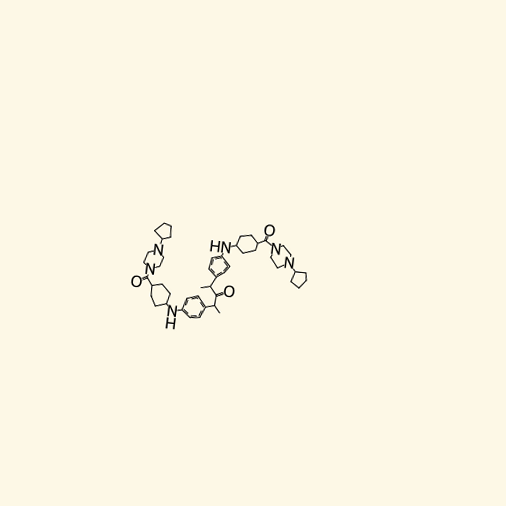 CC(C(=O)C(C)c1ccc(NC2CCC(C(=O)N3CCN(C4CCCC4)CC3)CC2)cc1)c1ccc(NC2CCC(C(=O)N3CCN(C4CCCC4)CC3)CC2)cc1